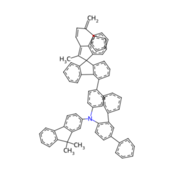 C=C(/C=C\C1=C(C)C2(c3ccccc31)c1ccccc1-c1c(-c3ccc(N(c4ccc5c(c4)C(C)(C)c4ccccc4-5)c4ccc(-c5ccccc5)cc4-c4ccccc4)cc3)cccc12)c1ccccc1